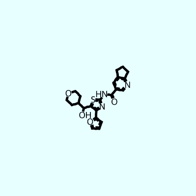 O=C(Nc1nc(-c2ccco2)c(C(O)C2CCOCC2)s1)c1cnc2c(c1)CCC2